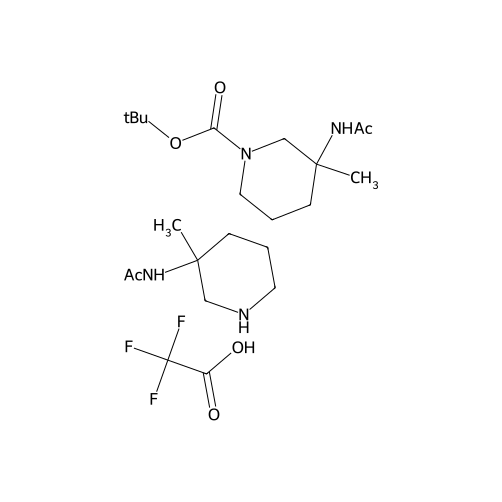 CC(=O)NC1(C)CCCN(C(=O)OC(C)(C)C)C1.CC(=O)NC1(C)CCCNC1.O=C(O)C(F)(F)F